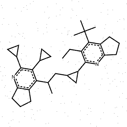 CCc1c(C2CC2CC(C)c2c3c(nc(C4CC4)c2C2CC2)CCC3)nc2c(c1C(C)(C)C)CCC2